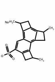 CC1Cc2c1c1c(c3cc(S(=O)(=O)[O-])c4c(c23)C(C)C4)C(C)C1.[Na+]